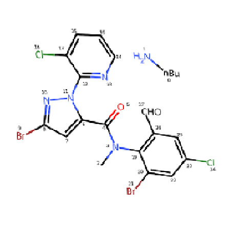 CCCCN.CN(C(=O)c1cc(Br)nn1-c1ncccc1Cl)c1c(Br)cc(Cl)cc1C=O